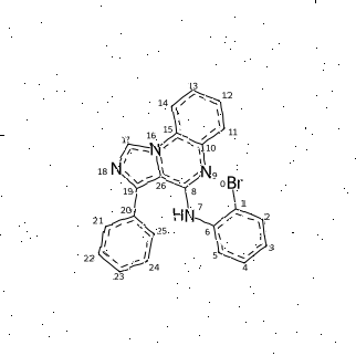 Brc1ccccc1Nc1nc2ccccc2n2cnc(-c3ccccc3)c12